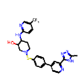 Cc1nnc(-c2cc(-c3ccc(SN4CCC(Nc5ccc(C(F)(F)F)cn5)C(O)C4)cc3)ccn2)[nH]1